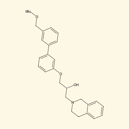 CC(C)(C)OCc1cccc(-c2cccc(OCC(O)CN3CCc4ccccc4C3)c2)c1